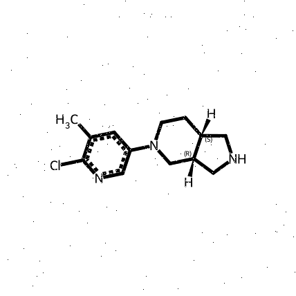 Cc1cc(N2CC[C@@H]3CNC[C@@H]3C2)cnc1Cl